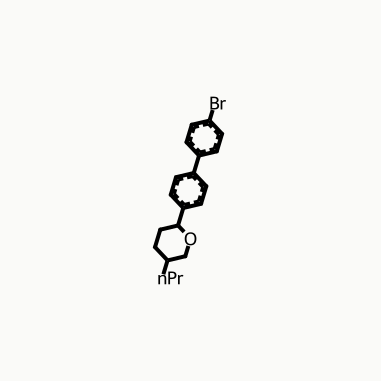 CCCC1CCC(c2ccc(-c3ccc(Br)cc3)cc2)OC1